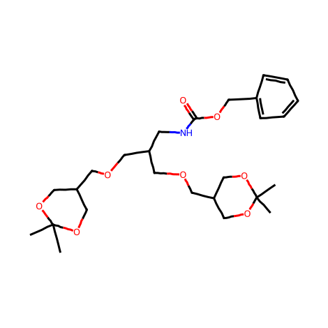 CC1(C)OCC(COCC(CNC(=O)OCc2ccccc2)COCC2COC(C)(C)OC2)CO1